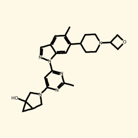 Cc1nc(N2CC3CC3(O)C2)cc(-n2ncc3cc(C)c(C4CCN(C5COC5)CC4)cc32)n1